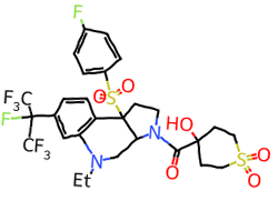 CCN1CC2N(C(=O)C3(O)CCS(=O)(=O)CC3)CCC2(S(=O)(=O)c2ccc(F)cc2)c2ccc(C(F)(C(F)(F)F)C(F)(F)F)cc21